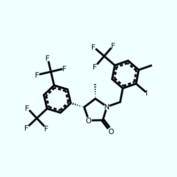 Cc1cc(C(F)(F)F)cc(CN2C(=O)O[C@H](c3cc(C(F)(F)F)cc(C(F)(F)F)c3)[C@@H]2C)c1I